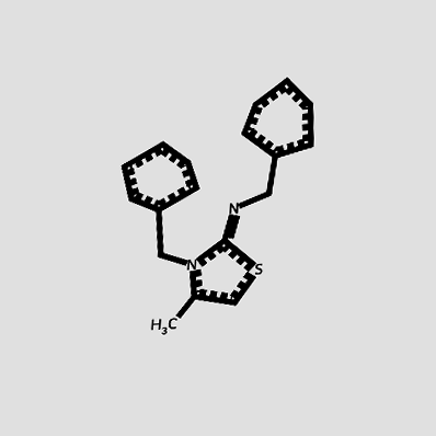 Cc1csc(=NCc2ccccc2)n1Cc1ccccc1